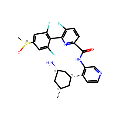 C[C@@H]1C[C@H](N)C[C@H](c2ccncc2NC(=O)c2ccc(F)c(-c3c(F)cc([S@@+](C)[O-])cc3F)n2)C1